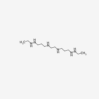 CCNNCCCNCCNCCCNNCC